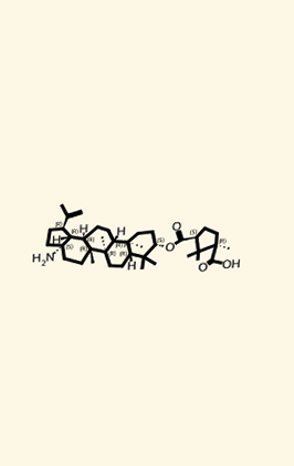 C=C(C)[C@@H]1CC[C@]2(N)CC[C@]3(C)[C@H](CC[C@@H]4[C@@]5(C)CC[C@H](OC(=O)[C@H]6CC[C@@](C)(C(=O)O)C6(C)C)C(C)(C)[C@@H]5CC[C@]43C)[C@@H]12